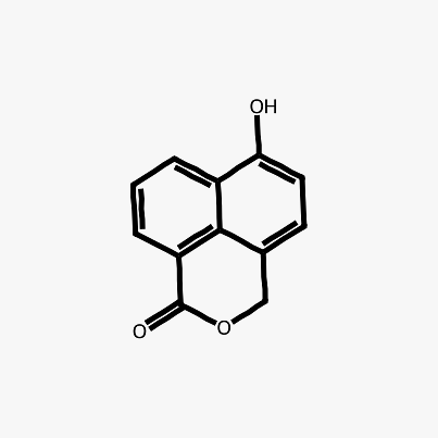 O=C1OCc2ccc(O)c3cccc1c23